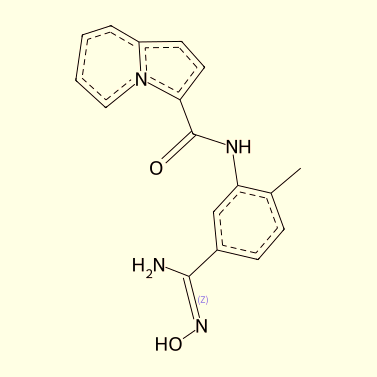 Cc1ccc(/C(N)=N/O)cc1NC(=O)c1ccc2ccccn12